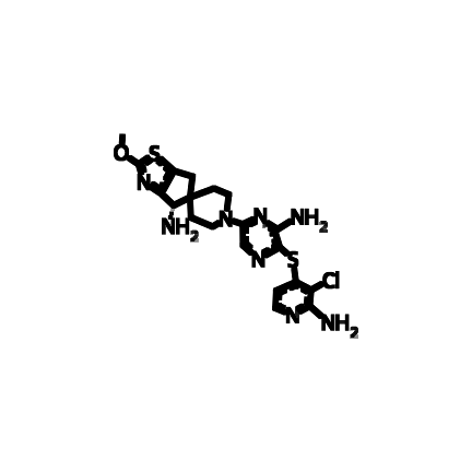 COc1nc2c(s1)CC1(CCN(c3cnc(Sc4ccnc(N)c4Cl)c(N)n3)CC1)[C@@H]2N